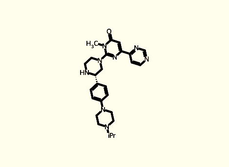 CC(C)N1CCN(c2ccc([C@H]3CN(c4nc(-c5ccncn5)cc(=O)n4C)CCN3)cc2)CC1